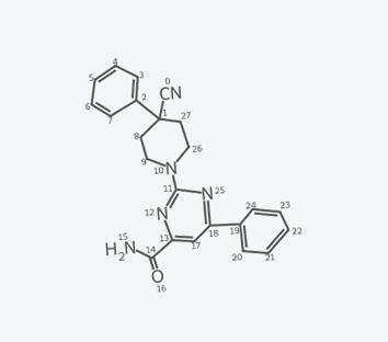 N#CC1(c2ccccc2)CCN(c2nc(C(N)=O)cc(-c3ccccc3)n2)CC1